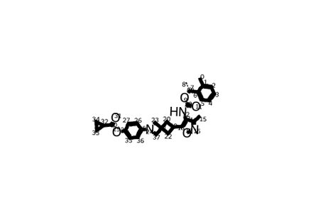 Cc1ccccc1[C@@H](C)OC(=O)Nc1c(C)noc1C1CC2(C1)CN(c1ccc(OC(=O)C3CC3)cc1)C2